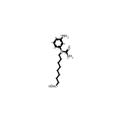 CCCCCCCCCCCCCCCCCCN(C(N)=O)c1cccc(N)c1